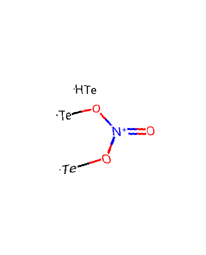 O=[N+](O[Te])O[Te].[TeH]